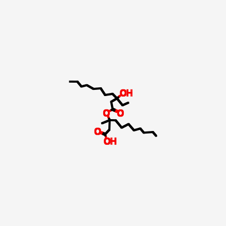 CCCCCCCCC(O)(CC)CC(=O)OC(C)(CCCCCCCC)CC(=O)O